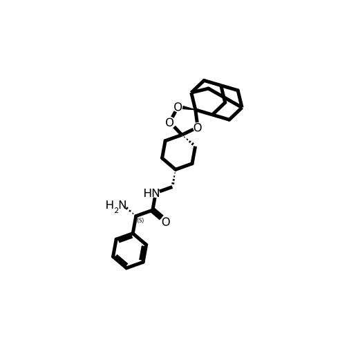 N[C@H](C(=O)NC[C@H]1CC[C@]2(CC1)OO[C@]1(O2)C2CC3CC(C2)CC1C3)c1ccccc1